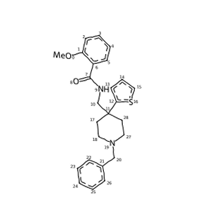 COc1ccccc1C(=O)NCC1(c2cccs2)CCN(Cc2ccccc2)CC1